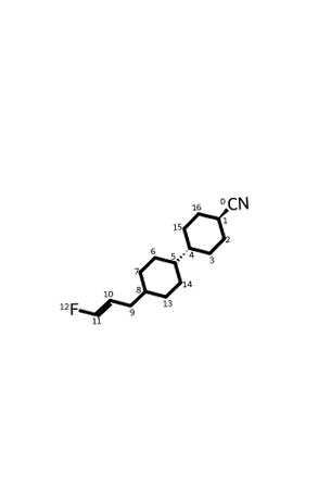 N#C[C@H]1CC[C@H](C2CCC(C/C=C/F)CC2)CC1